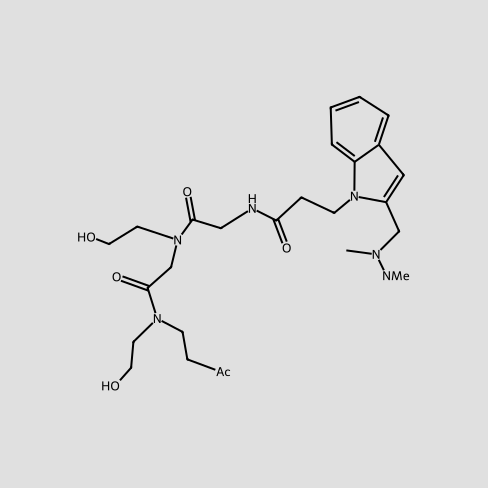 CNN(C)Cc1cc2ccccc2n1CCC(=O)NCC(=O)N(CCO)CC(=O)N(CCO)CCC(C)=O